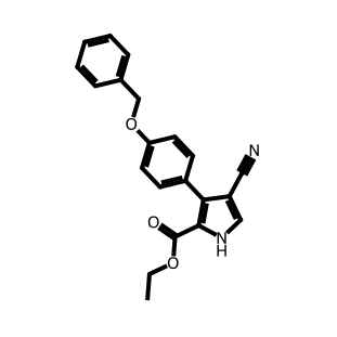 CCOC(=O)c1[nH]cc(C#N)c1-c1ccc(OCc2ccccc2)cc1